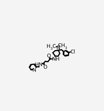 CN(C)C1(Cc2cccc(Cl)c2)CCC(NC(=O)CCC(=O)NCc2ccccn2)CC1